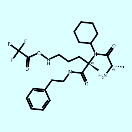 C[C@H](N)C(=O)N(C1CCCCC1)[C@@](C)(CCCNOC(=O)C(F)(F)F)C(=O)NCCc1ccccc1